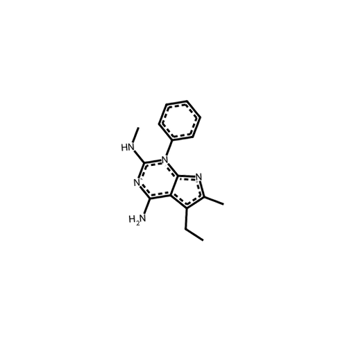 CCc1c(C)nc2n(-c3ccccc3)c(NC)nc(N)c1-2